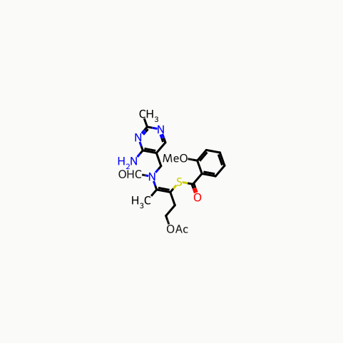 COc1ccccc1C(=O)S/C(CCOC(C)=O)=C(/C)N(C=O)Cc1cnc(C)nc1N